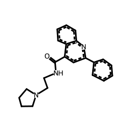 O=C(NCCN1CCCC1)c1cc(-c2ccccc2)nc2ccccc12